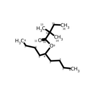 CCCCC(CCCC)OC(=O)C(C)(C)CC